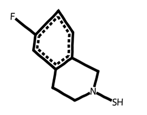 Fc1ccc2c(c1)CCN(S)C2